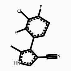 Cc1[nH]cc(C#N)c1-c1ccc(F)c(Cl)c1F